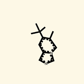 Cc1cn2cncc2cc1C(C)(C)C